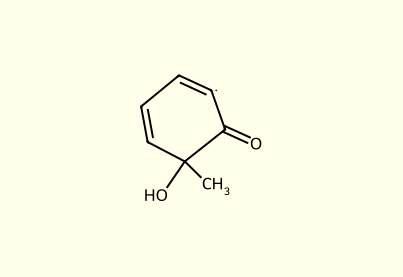 CC1(O)C=CC=[C]C1=O